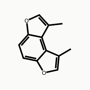 Cc1coc2ccc3occ(C)c3c12